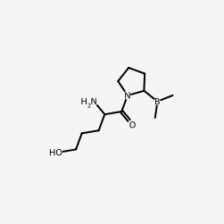 CB(C)C1CCCN1C(=O)C(N)CCCO